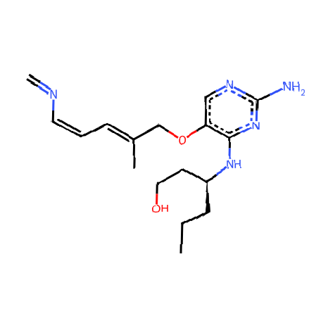 C=N/C=C\C=C(/C)COc1cnc(N)nc1N[C@@H](CCC)CCO